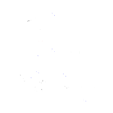 COc1nc(-c2c(F)ccc3sc(N)c(C#N)c23)c(F)c2nc(OC[C@]3(C)CN(C)CC[C@@H]3CF)nc(N3C[C@H]4CC[C@@H](C3)N4)c12